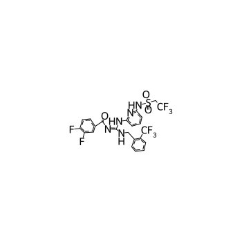 O=C(/N=C(/NCc1ccccc1C(F)(F)F)Nc1cccc(NS(=O)(=O)CC(F)(F)F)n1)c1ccc(F)c(F)c1